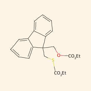 CCOC(=O)OCC1(CSC(=O)OCC)c2ccccc2-c2ccccc21